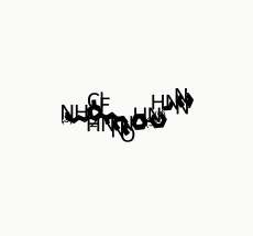 C[C@H](N)CCCc1cc(Cl)c(F)c(-c2cc3cn(-c4ccc([C@@H]5CCC[C@@H](CCNc6ncccn6)N5)cc4)c(=O)nc3[nH]2)c1